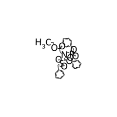 CCOC(=O)CN(CP(=O)(Oc1ccccc1)Oc1ccccc1)C(=O)S(=O)(=O)Cc1ccccc1